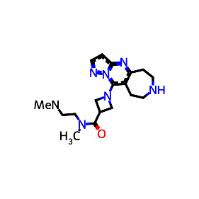 CNCCN(C)C(=O)C1CN(c2c3c(nc4ccnn24)CCNCC3)C1